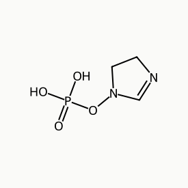 O=P(O)(O)ON1C=NCC1